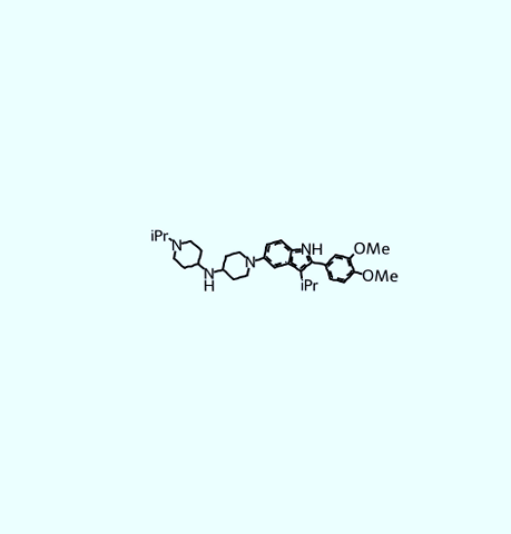 COc1ccc(-c2[nH]c3ccc(N4CCC(NC5CCN(C(C)C)CC5)CC4)cc3c2C(C)C)cc1OC